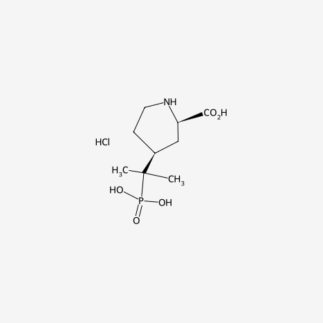 CC(C)([C@H]1CCN[C@@H](C(=O)O)C1)P(=O)(O)O.Cl